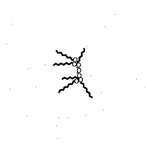 CCCCCCCCOC(CCCCCC)(OCCCCCCCC)OCOCOC(CCCCCC)(OCCCCCCCC)OCCCCCCCC